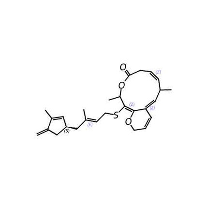 C=C1C[C@H](C/C(C)=C/CS/C2=C3\OCC=C\C3=C\C(C)/C=C\CC(=O)OC2C)C=C1C